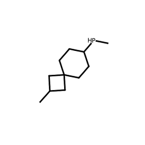 CPC1CCC2(CC1)CC(C)C2